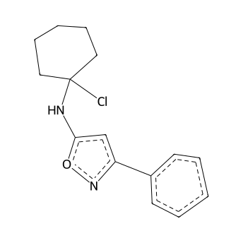 ClC1(Nc2cc(-c3ccccc3)no2)CCCCC1